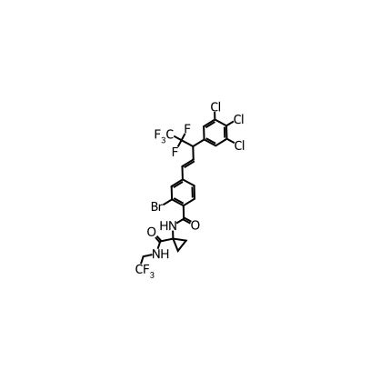 O=C(NC1(C(=O)NCC(F)(F)F)CC1)c1ccc(/C=C/C(c2cc(Cl)c(Cl)c(Cl)c2)C(F)(F)C(F)(F)F)cc1Br